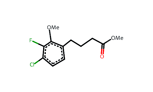 COC(=O)CCCc1ccc(Cl)c(F)c1OC